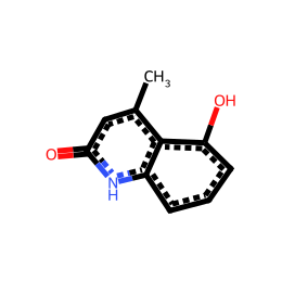 Cc1cc(=O)[nH]c2cccc(O)c12